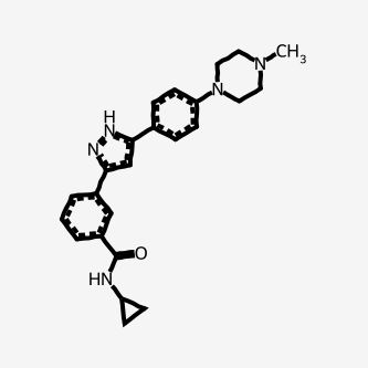 CN1CCN(c2ccc(-c3cc(-c4cccc(C(=O)NC5CC5)c4)n[nH]3)cc2)CC1